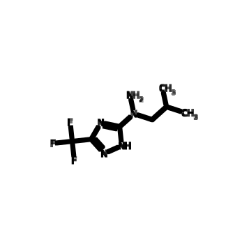 CC(C)CN(N)c1nc(C(F)(F)F)n[nH]1